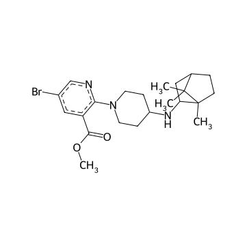 COC(=O)c1cc(Br)cnc1N1CCC(NC2CC3CCC2(C)C3(C)C)CC1